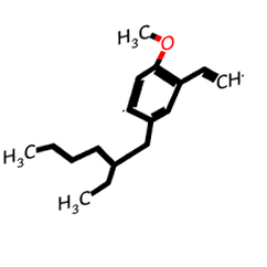 [CH]=Cc1cc(CC(CC)CCCC)[c]cc1OC